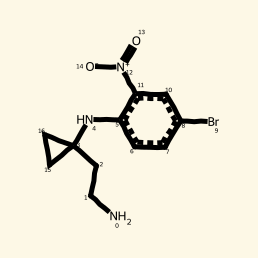 NCCC1(Nc2ccc(Br)cc2[N+](=O)[O-])CC1